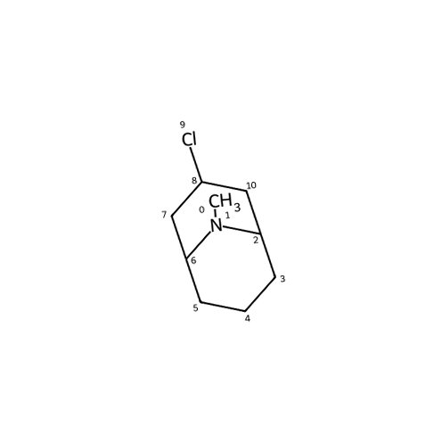 CN1C2CCCC1CC(Cl)C2